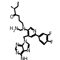 CC[C@H](C)C(=O)CCCN(CN)c1cnc(-c2ccc(F)c(F)c2)cc1Cn1cnc2c(N)ncnc21